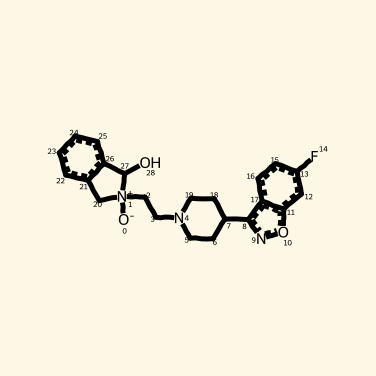 [O-][N+]1(CCN2CCC(c3noc4cc(F)ccc34)CC2)Cc2ccccc2C1O